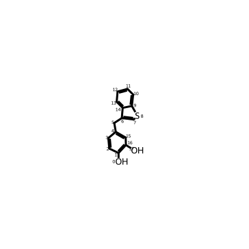 Oc1ccc(Cc2csc3ccccc23)cc1O